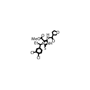 CCC(c1ccc(Cl)c(Cl)c1)n1c(C(=O)OC)c(NC(=O)C2CCOC2)[nH]c1=S